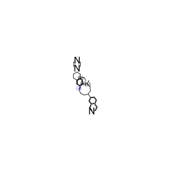 C[C@H]1CCC(c2ccc3ccncc3c2)CC/C=C2/C=C3CCC(N4CCN(C)CC4)C[C@]34CC[C@@]21O4